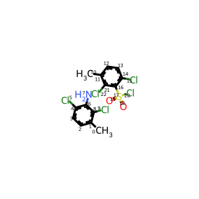 Cc1ccc(Cl)c(N)c1Cl.Cc1ccc(Cl)c(S(=O)(=O)Cl)c1Cl